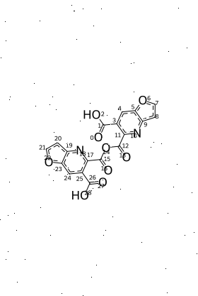 O=C(O)c1cc2occc2nc1C(=O)OC(=O)c1nc2ccoc2cc1C(=O)O